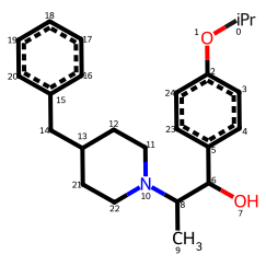 CC(C)Oc1ccc(C(O)C(C)N2CCC(Cc3ccccc3)CC2)cc1